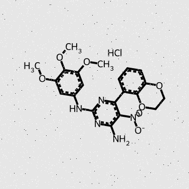 COc1cc(Nc2nc(N)c([N+](=O)[O-])c(-c3cccc4c3OCCO4)n2)cc(OC)c1OC.Cl